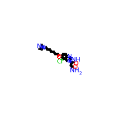 NC(=O)CC1C(=O)NC2=Nc3ccc(OCCCCCCCn4ccnc4)c(Cl)c3CN21